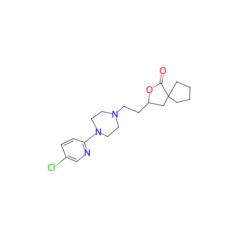 O=C1OC(CCN2CCN(c3ccc(Cl)cn3)CC2)CC12CCCC2